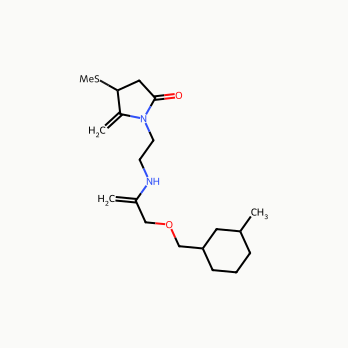 C=C(COCC1CCCC(C)C1)NCCN1C(=C)C(SC)CC1=O